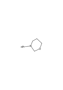 CCCN1CCCOC1